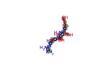 Nc1cc(N)c(/N=N/c2ccc(NS(=O)(=O)c3ccc(/N=N/c4c(S(=O)(=O)O)cc5cc(SOOO)c(/N=N/c6ccc(S(=O)(=O)CCOSOOO)cc6)c(N)c5c4O)cc3)cc2)cc1Cl